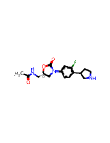 CC(=O)NC[C@H]1CN(c2ccc(C3CCNC3)c(F)c2)C(=O)O1